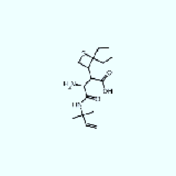 C=CC(C)(C)NC(=O)[C@@H](N)C(C(=O)O)C1CSC1(CC)CC